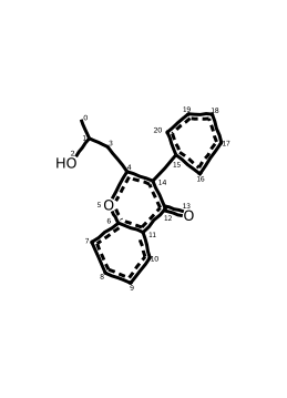 CC(O)Cc1oc2ccccc2c(=O)c1-c1ccccc1